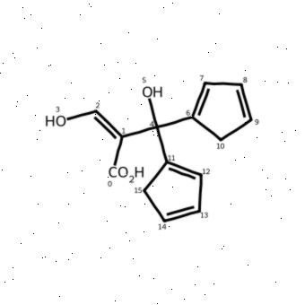 O=C(O)C(=CO)C(O)(C1=CC=CC1)C1=CC=CC1